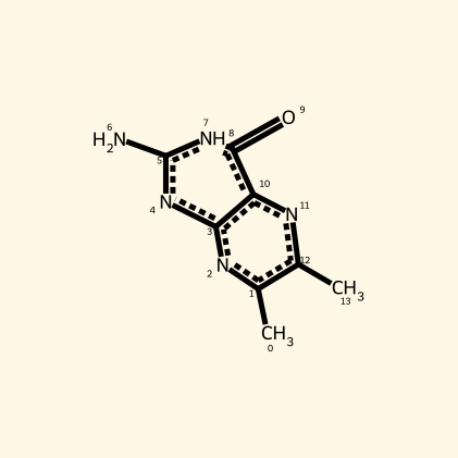 Cc1nc2nc(N)[nH]c(=O)c2nc1C